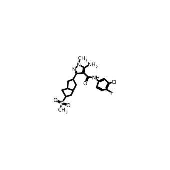 Cn1nc(C2CC3CC(S(C)(=O)=O)CC3C2)c(C(=O)Nc2ccc(F)c(Cl)c2)c1N